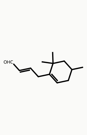 CC1CC=C(CC=CC=O)C(C)(C)C1